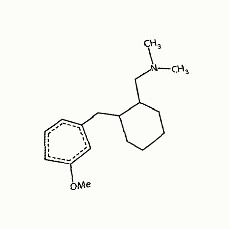 COc1cccc(CC2CCCCC2CN(C)C)c1